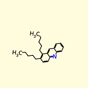 CCCCCc1ccc2nc3ccccc3cc2c1CCCCC